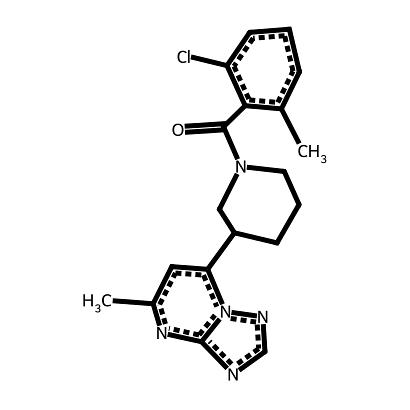 Cc1cc(C2CCCN(C(=O)c3c(C)cccc3Cl)C2)n2ncnc2n1